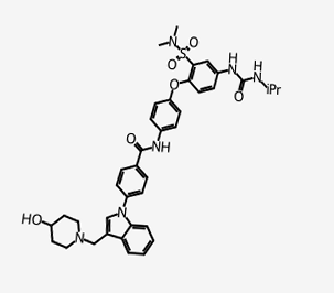 CC(C)NC(=O)Nc1ccc(Oc2ccc(NC(=O)c3ccc(-n4cc(CN5CCC(O)CC5)c5ccccc54)cc3)cc2)c(S(=O)(=O)N(C)C)c1